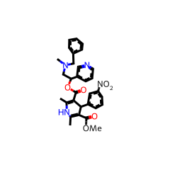 COC(=O)C1=C(C)NC(C)=C(C(=O)OC(CN(C)Cc2ccccc2)c2cccnc2)C1c1cccc([N+](=O)[O-])c1